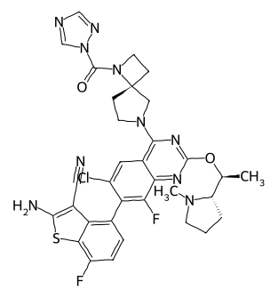 C[C@H](Oc1nc(N2CC[C@@]3(CCN3C(=O)n3cncn3)C2)c2cc(Cl)c(-c3ccc(F)c4sc(N)c(C#N)c34)c(F)c2n1)[C@@H]1CCCN1C